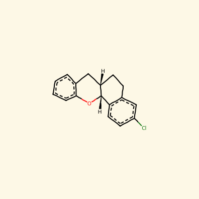 Clc1ccc2c(c1)CC[C@H]1Cc3ccccc3O[C@@H]21